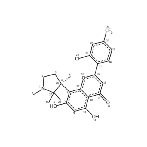 CN1CC[C@@](C)(c2c(O)cc(O)c3c(=O)cc(-c4ccc(C(F)(F)F)cc4Cl)oc23)C1(C)C